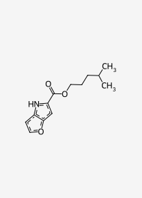 CC(C)CCCOC(=O)c1cc2occc2[nH]1